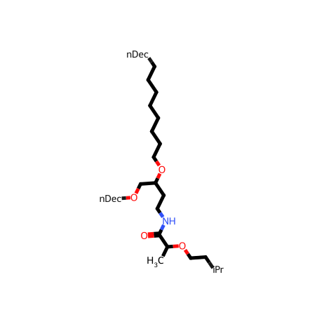 CCCCCCCCCCCCCCCCCCOC(CCNC(=O)C(C)OCCC(C)C)COCCCCCCCCCC